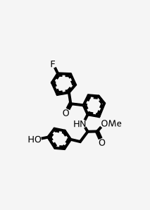 COC(=O)C(Cc1ccc(O)cc1)Nc1ccccc1C(=O)c1ccc(F)cc1